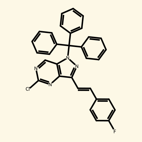 Fc1ccc(C=Cc2nn(C(c3ccccc3)(c3ccccc3)c3ccccc3)c3cnc(Cl)nc23)cc1